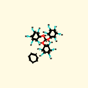 C1=CC=CCC=C1.Fc1c(F)c(F)c(OB(Oc2c(F)c(F)c(F)c(F)c2F)Oc2c(F)c(F)c(F)c(F)c2F)c(F)c1F